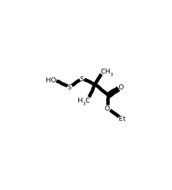 CCOC(=O)C(C)(C)SSO